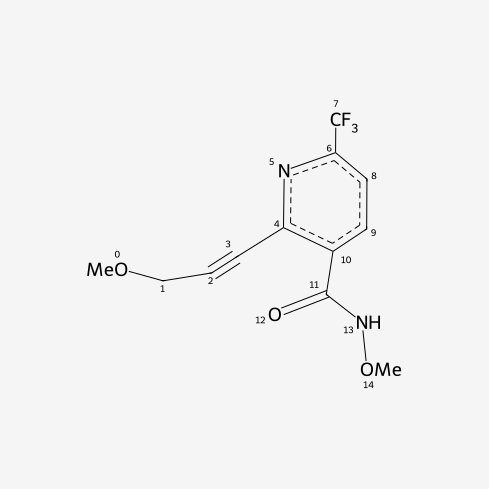 COCC#Cc1nc(C(F)(F)F)ccc1C(=O)NOC